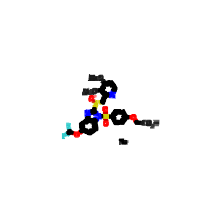 COc1ccnc(C[S+]([O-])c2nc3cc(OC(F)F)ccc3n2S(=O)(=O)c2ccc(OCC(=O)O)cc2)c1OC.[Na]